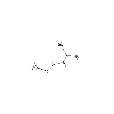 CC(C)C(SCCO)C(C)(C)C